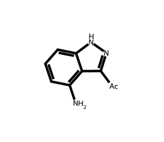 CC(=O)c1n[nH]c2cccc(N)c12